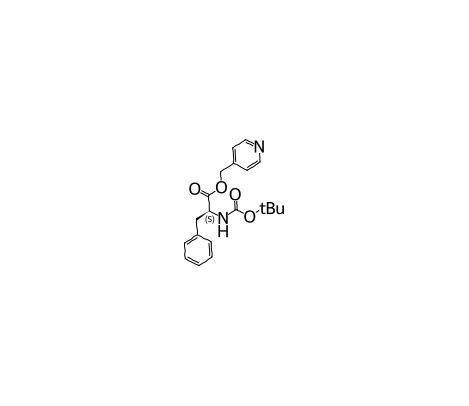 CC(C)(C)OC(=O)N[C@@H](Cc1ccccc1)C(=O)OCc1ccncc1